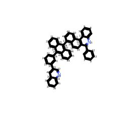 c1ccc(-c2nc3ccccc3c3c2ccc2c(-c4c5ccccc5c(-c5cccc(-c6cnc7ccccc7c6)c5)c5ccccc45)cccc23)cc1